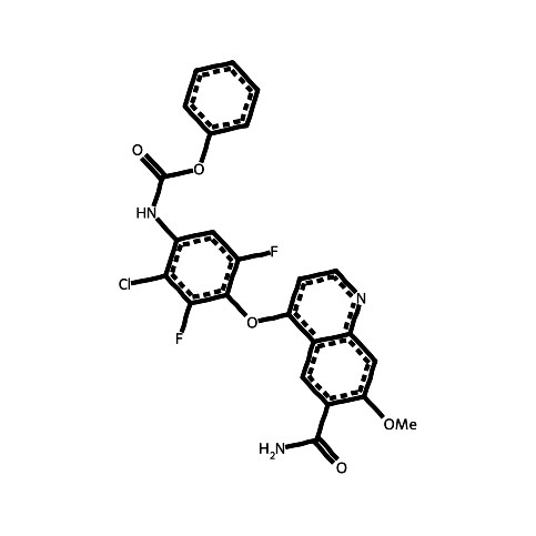 COc1cc2nccc(Oc3c(F)cc(NC(=O)Oc4ccccc4)c(Cl)c3F)c2cc1C(N)=O